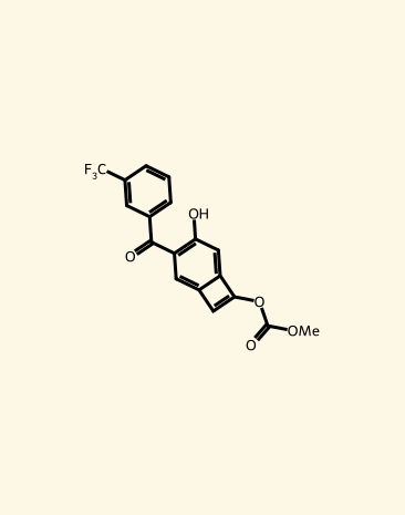 COC(=O)OC1=Cc2cc(C(=O)c3cccc(C(F)(F)F)c3)c(O)cc21